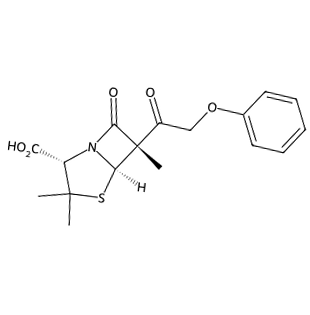 CC1(C)S[C@H]2N(C(=O)[C@]2(C)C(=O)COc2ccccc2)[C@H]1C(=O)O